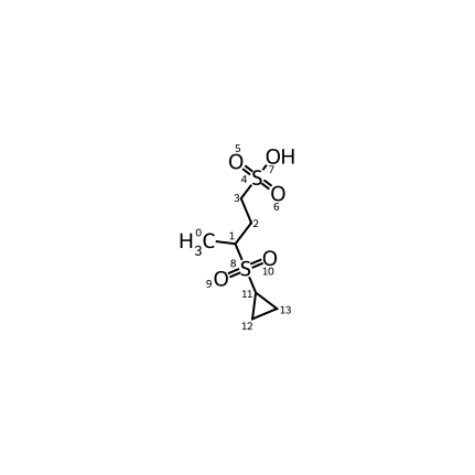 CC(CCS(=O)(=O)O)S(=O)(=O)C1CC1